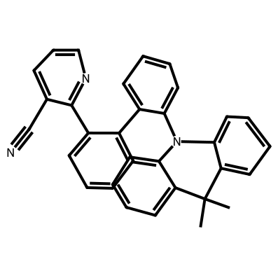 CC1(C)c2ccccc2N(c2ccccc2-c2ccccc2-c2ncccc2C#N)c2ccccc21